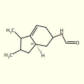 CC1C[C@@H]2CC(NC=O)CC=C2C1C